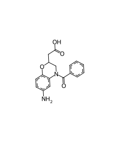 Nc1ccc2c(c1)N(C(=O)c1ccccc1)CC(CC(=O)O)O2